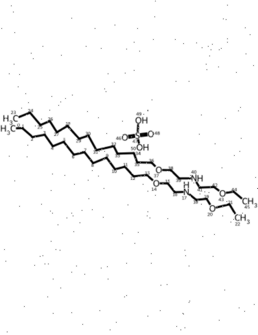 CCCCCCCCCCCCCCOCCNCCOCC.CCCCCCCCCCCCCCOCCNCCOCC.O=S(=O)(O)O